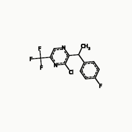 CC(c1ccc(F)cc1)c1ncc(C(F)(F)F)nc1Cl